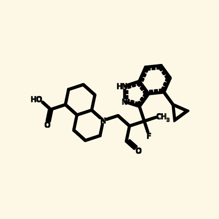 CC(F)(c1n[nH]c2cccc(C3CC3)c12)C(C=O)CN1CCCC2C(C(=O)O)CCCC21